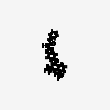 O=C(Cc1ccccc1)Nc1nc2ccc(Oc3cc(C(F)(F)F)nc4c(C(F)(F)F)cccc34)cc2s1